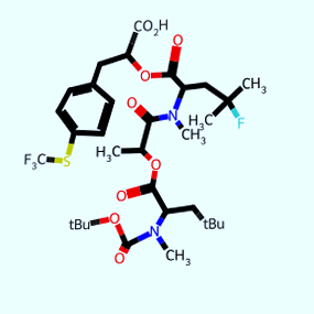 CC(OC(=O)C(CC(C)(C)C)N(C)C(=O)OC(C)(C)C)C(=O)N(C)C(CC(C)(C)F)C(=O)OC(Cc1ccc(SC(F)(F)F)cc1)C(=O)O